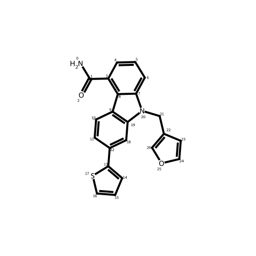 NC(=O)c1cccc2c1c1[c]cc(-c3cccs3)cc1n2Cc1ccoc1